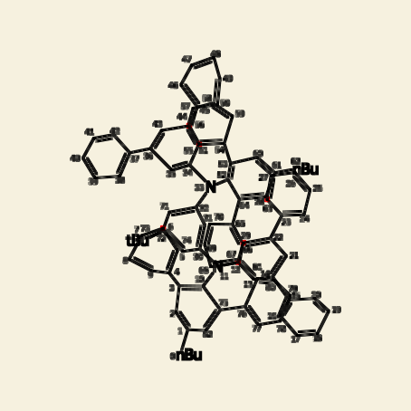 CCCCc1cc(-c2ccccc2)c(N(c2cc(-c3ccccc3)cc(-c3ccccc3)c2)c2cc(N(c3cc(-c4ccccc4)cc(-c4ccccc4)c3)c3c(-c4ccccc4)cc(CCCC)cc3-c3ccccc3)cc(C(C)(C)C)c2)c(-c2ccccc2)c1